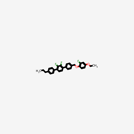 CCCc1ccc(-c2ccc(-c3ccc(COc4ccc(OCC)cc4F)cc3)c(F)c2F)cc1